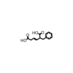 O=C(O)CC=CC(Cc1ccccc1)C(=O)O